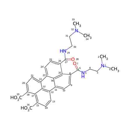 CN(C)CCNC(=O)c1ccc2c3ccc(C(=O)O)c4c(C(=O)O)ccc(c5ccc(C(=O)NCCN(C)C)c1c25)c43